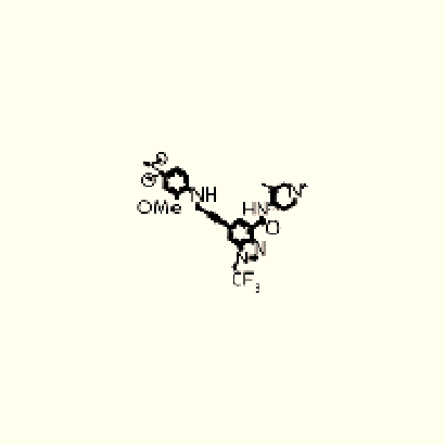 COc1cc(S(C)(=O)=O)ccc1NCC#Cc1cc(C(=O)N[C@H]2CCN(C)C[C@@H]2C)c2ncn(CC(F)(F)F)c2c1